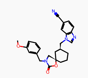 COc1cccc(CN2C[C@@]3(CCC[C@H](Cn4cnc5ccc(C#N)cc54)C3)OC2=O)c1